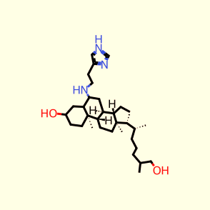 CC(CO)CCC[C@@H](C)[C@H]1CC[C@H]2[C@@H]3CC(NCCc4c[nH]cn4)C4CC(O)CC[C@]4(C)[C@H]3CC[C@]12C